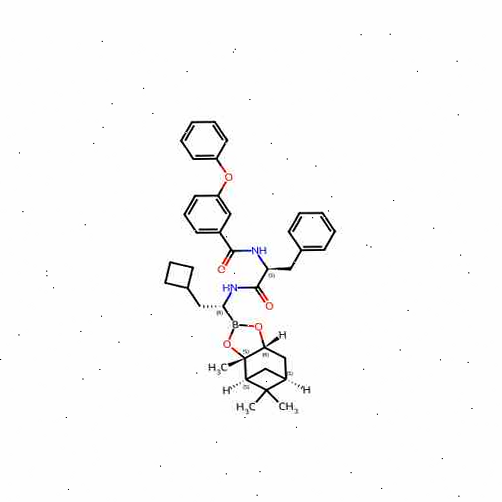 CC1(C)[C@@H]2C[C@H]3OB([C@H](CC4CCC4)NC(=O)[C@H](Cc4ccccc4)NC(=O)c4cccc(Oc5ccccc5)c4)O[C@@]3(C)[C@H]1C2